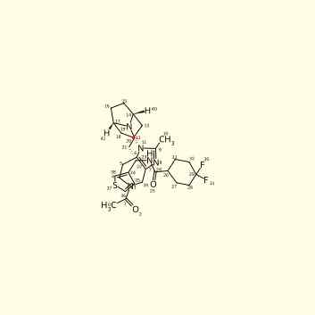 CC(=O)N1CCc2c(nc(C)n2[C@H]2C[C@H]3CC[C@@H](C2)N3CC[C@H](NC(=O)C2CCC(F)(F)CC2)c2ccsc2)C1